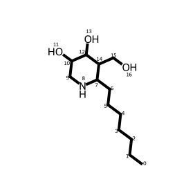 CCCCCCCC1NCC(O)C(O)C1CO